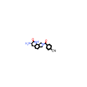 N#Cc1ccc(C(=O)N2Cc3ccc4c(c3C2)NC(=O)[C@@H](N)C4)cc1